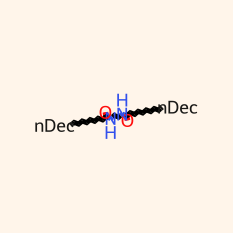 CCCCCCCCCCCCCCCCCCC(=O)NCCNC(=O)CCCCCCCCCCCCCCCCCC